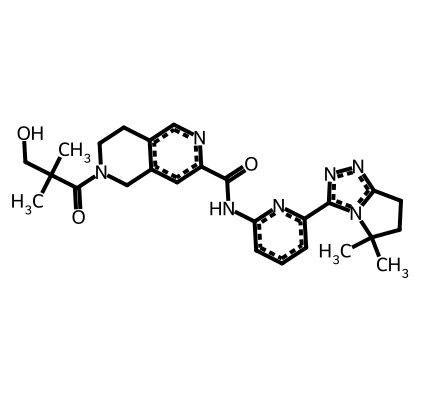 CC(C)(CO)C(=O)N1CCc2cnc(C(=O)Nc3cccc(-c4nnc5n4C(C)(C)CC5)n3)cc2C1